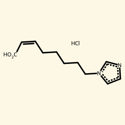 Cl.O=C(O)/C=C\CCCCCn1ccnc1